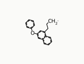 [CH2]CCc1cc(Oc2ccccc2)cc2ccccc12